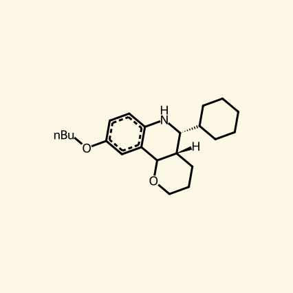 CCCCOc1ccc2c(c1)C1OCCC[C@H]1[C@@H](C1CCCCC1)N2